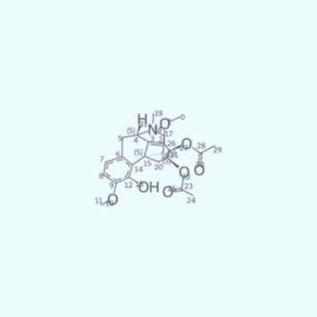 COC1=C2[C@@H]3Cc4ccc(OC)c(O)c4[C@]2(CCN3C)C[C@H](OC(C)=O)[C@@H]1OC(C)=O